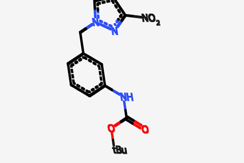 CC(C)(C)OC(=O)Nc1cccc(Cn2ccc([N+](=O)[O-])n2)c1